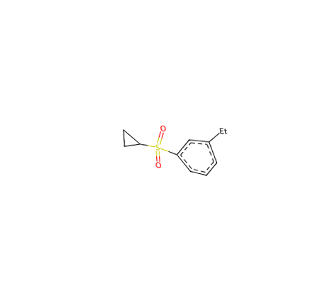 CCc1cccc(S(=O)(=O)C2CC2)c1